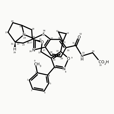 Cc1ccccc1-c1noc(C2CC2)c1CO[C@@H]1CC2CC[C@@H](C1)N2c1nc2ccc(C(=O)NCC(=O)O)cc2s1